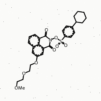 COCCOCCOc1cc2c3c(cccc3c1)C(=O)N(OS(=O)(=O)c1ccc(C3CCCCC3)cc1)C2=O